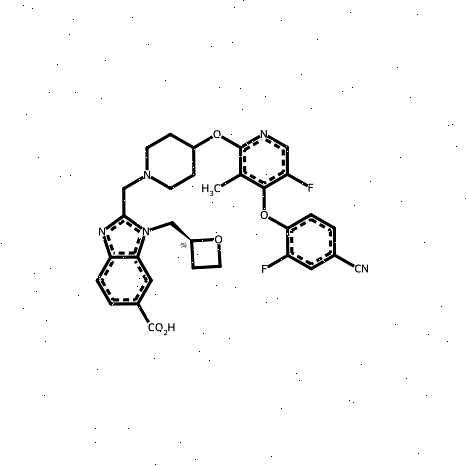 Cc1c(OC2CCN(Cc3nc4ccc(C(=O)O)cc4n3C[C@@H]3CCO3)CC2)ncc(F)c1Oc1ccc(C#N)cc1F